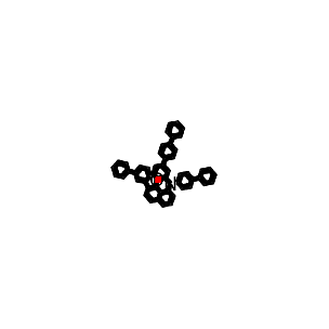 c1ccc(-c2ccc(-c3cccc(N(c4ccc(-c5ccccc5)cc4)c4cccc5ccc6c7cc(-c8ccccc8)ccc7oc6c45)c3)cc2)cc1